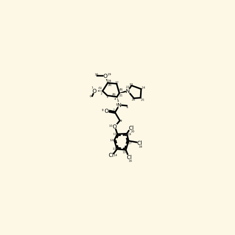 CO[C@H]1C[C@@H](N(C)C(=O)COc2cc(Cl)c(Cl)c(Cl)c2Cl)[C@H](N2CCCC2)C[C@H]1OC